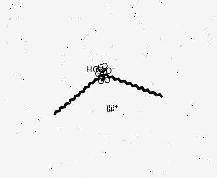 CCCCCCCCCCCCCCCCCCCCC(CCCCCCCCCCCCCCCCCCCC)(C(=O)[O-])C(C(=O)[O-])S(=O)(=O)O.[Li+].[Li+]